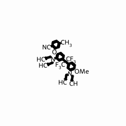 C#CCN(CC#C)c1cc(C(c2ccc(Oc3cc(C)ccc3C#N)c(N(CC#C)CC#C)c2)(C(F)(F)F)C(F)(F)F)ccc1OC